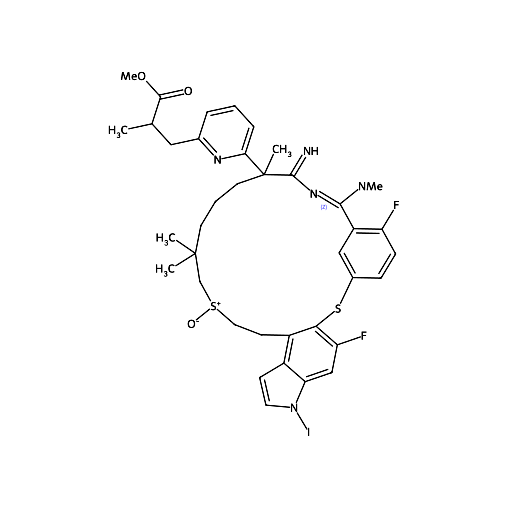 CN/C1=N\C(=N)C(C)(c2cccc(CC(C)C(=O)OC)n2)CCCC(C)(C)C[S+]([O-])CCc2c(c(F)cc3c2ccn3I)Sc2ccc(F)c1c2